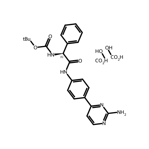 CC(C)(C)OC(=O)N[C@H](C(=O)Nc1ccc(-c2ccnc(N)n2)cc1)c1ccccc1.O=C(O)O.O=C(O)O